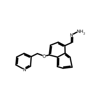 NN=Cc1ccc(OCc2cccnc2)c2ccccc12